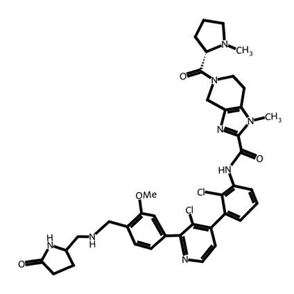 COc1cc(-c2nccc(-c3cccc(NC(=O)c4nc5c(n4C)CCN(C(=O)[C@@H]4CCCN4C)C5)c3Cl)c2Cl)ccc1CNCC1CCC(=O)N1